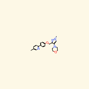 Cc1ccc(-c2ccc(OCc3nn(C)cc3N3CCOCC3)cc2)nc1